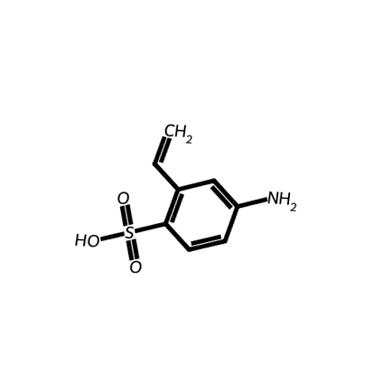 C=Cc1cc(N)ccc1S(=O)(=O)O